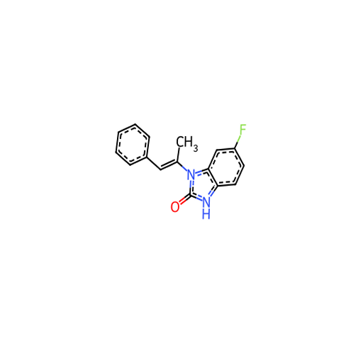 CC(=Cc1ccccc1)n1c(=O)[nH]c2ccc(F)cc21